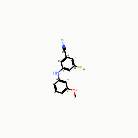 COc1cccc(Nc2cc(F)cc(C#N)c2)c1